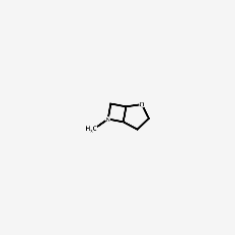 CN1CC2OCCC21